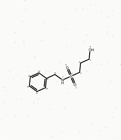 O=S(=O)(CCCO)NCc1ccccc1